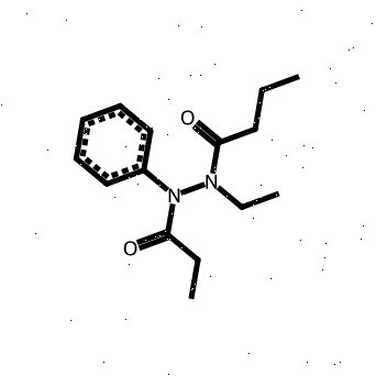 CCCC(=O)N(CC)N(C(=O)CC)c1ccccc1